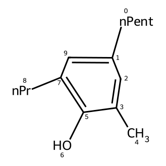 CCCCCc1cc(C)c(O)c(CCC)c1